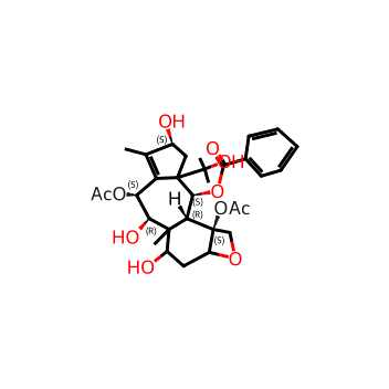 CC(=O)O[C@H]1C2=C(C)[C@@H](O)CC2(C(C)(C)O)[C@@H](OC(=O)c2ccccc2)[C@H]2C(C)(C(O)CC3OC[C@]32OC(C)=O)[C@H]1O